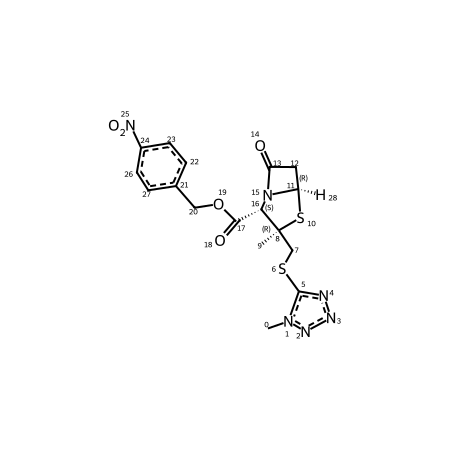 Cn1nnnc1SC[C@]1(C)S[C@@H]2CC(=O)N2[C@H]1C(=O)OCc1ccc([N+](=O)[O-])cc1